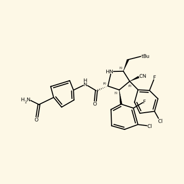 CC(C)(C)C[C@@H]1N[C@@H](C(=O)Nc2ccc(C(N)=O)cc2)[C@H](c2cccc(Cl)c2F)[C@@]1(C#N)c1ccc(Cl)cc1F